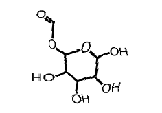 O=COC1OC(O)C(O)C(O)C1O